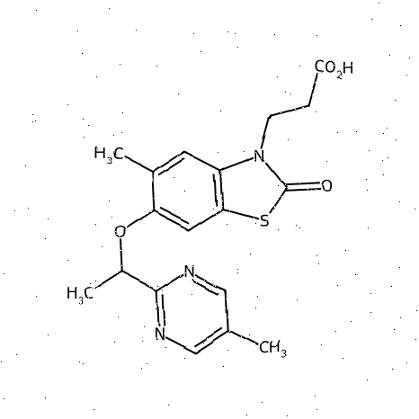 Cc1cnc(C(C)Oc2cc3sc(=O)n(CCC(=O)O)c3cc2C)nc1